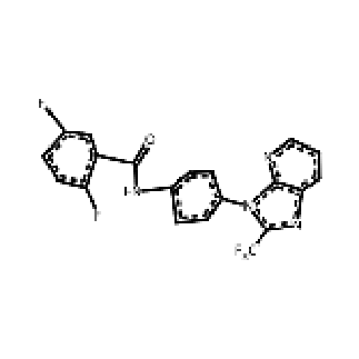 O=C(Nc1ccc(-n2c(C(F)(F)F)nc3cccnc32)cc1)c1cc(F)ccc1F